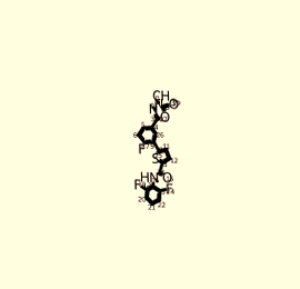 Cn1nc(-c2ccc(F)c(-c3ccc(C(=O)Nc4c(F)cccc4F)s3)c2)oc1=O